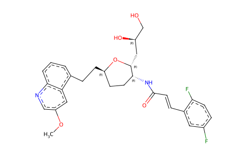 COc1cnc2cccc(CC[C@@H]3CC[C@@H](NC(=O)C=Cc4cc(F)ccc4F)[C@@H](C[C@@H](O)CO)O3)c2c1